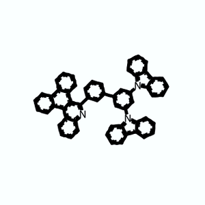 c1cc(-c2cc(-n3c4ccccc4c4ccccc43)cc(-n3c4ccccc4c4ccccc43)c2)cc(-c2nc3ccccc3c3c4ccccc4c4ccccc4c23)c1